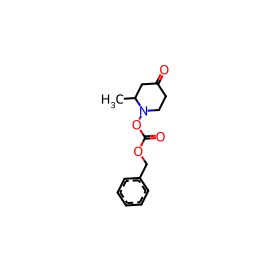 CC1CC(=O)CCN1OC(=O)OCc1ccccc1